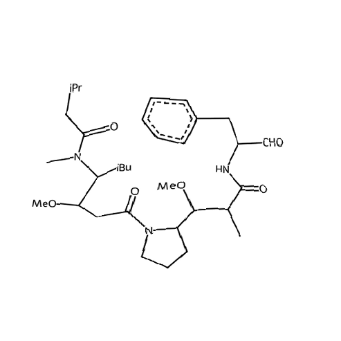 CCC(C)C(C(CC(=O)N1CCCC1C(OC)C(C)C(=O)NC(C=O)Cc1ccccc1)OC)N(C)C(=O)CC(C)C